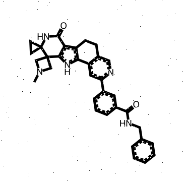 CN1CC2(C1)c1[nH]c3c(c1C(=O)NC21CC1)CCc1cnc(-c2cccc(C(=O)NCc4ccccc4)c2)cc1-3